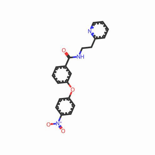 O=C(NCCc1ccccn1)c1cccc(Oc2ccc([N+](=O)[O-])cc2)c1